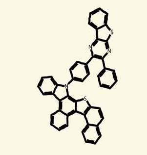 c1ccc(-c2nc3sc4ccccc4c3nc2-c2ccc(-n3c4ccccc4c4c5ccccc5c5c(sc6ccc7ccccc7c65)c43)cc2)cc1